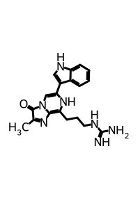 Cc1nc2c(CCCNC(=N)N)[nH]c(-c3c[nH]c4ccccc34)cn-2c1=O